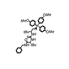 COc1ccc(P(=NC[C@@H](NC(=S)N[C@H](C(=O)NCc2ccccc2)C(C)(C)C)C(C)(C)C)(c2ccc(OC)cc2)c2ccc(OC)cc2)cc1